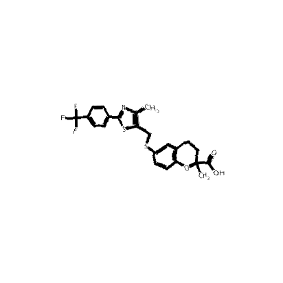 Cc1nc(-c2ccc(C(F)(F)F)cc2)sc1CSc1ccc2c(c1)CCC(C)(C(=O)O)O2